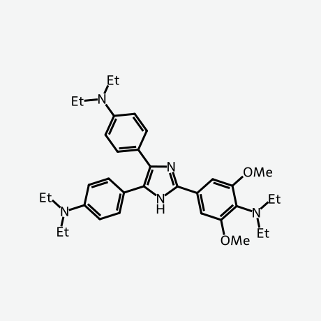 CCN(CC)c1ccc(-c2nc(-c3cc(OC)c(N(CC)CC)c(OC)c3)[nH]c2-c2ccc(N(CC)CC)cc2)cc1